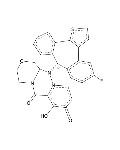 O=C1c2c(O)c(=O)ccn2N([C@H]2c3ccc(F)cc3-c3ccsc3-c3ccccc32)C2COCCN12